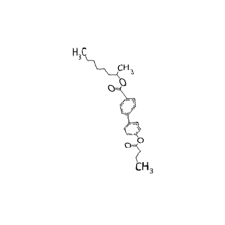 CCCCCCC(C)OC(=O)c1ccc(-c2ccc(OC(=O)CCC)cc2)cc1